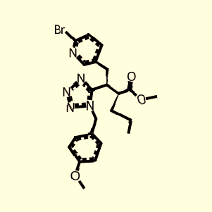 CCC[C@H](C(=O)OC)[C@H](Cc1ccc(Br)nc1)c1nnnn1Cc1ccc(OC)cc1